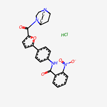 Cl.O=C(Nc1ccc(-c2ccc(C(=O)N3CCN4CCC3CC4)o2)cc1)c1ccccc1[N+](=O)[O-]